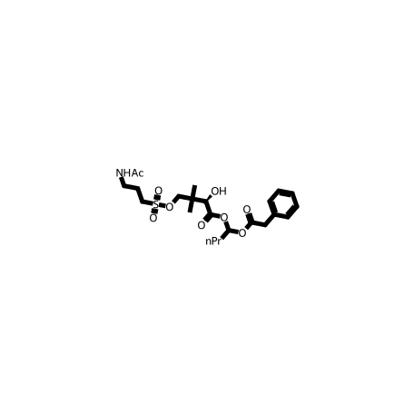 CCCC(OC(=O)Cc1ccccc1)OC(=O)[C@H](O)C(C)(C)COS(=O)(=O)CCCNC(C)=O